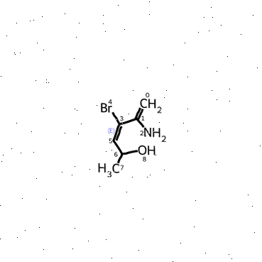 C=C(N)/C(Br)=C\C(C)O